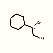 OC[C@@H](O)C1CCOCC1